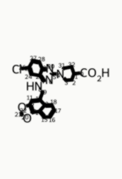 O=C(O)C1CCN(c2nc(NCc3cc4c(c5ccccc35)OCO4)c3cc(Cl)ccc3n2)CC1